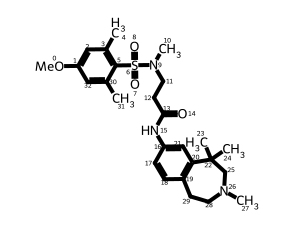 COc1cc(C)c(S(=O)(=O)N(C)CCC(=O)Nc2ccc3c(c2)C(C)(C)CN(C)CC3)c(C)c1